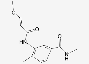 CNC(=O)c1ccc(C)c(NC(=O)/C=C/OC)c1